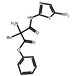 CCC(C)C(N)(C(=O)Nc1ncc([N+](=O)[O-])s1)C(=O)Oc1ccccc1